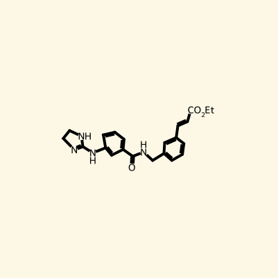 CCOC(=O)C=Cc1cccc(CNC(=O)c2cccc(NC3=NCCN3)c2)c1